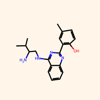 Cc1ccc(O)c(-c2nc(NCC(N)C(C)C)c3ccccc3n2)c1